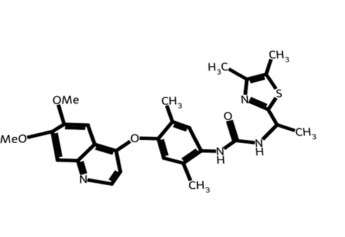 COc1cc2nccc(Oc3cc(C)c(NC(=O)NC(C)c4nc(C)c(C)s4)cc3C)c2cc1OC